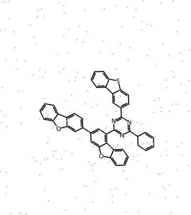 C1=CCC(c2nc(-c3ccc4sc5ccccc5c4c3)nc(-c3cc(-c4ccc5c(c4)oc4ccccc45)cc4oc5ccccc5c34)n2)C=C1